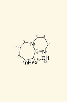 C1CCC2=NCCCN2CC1.CCCCCCO